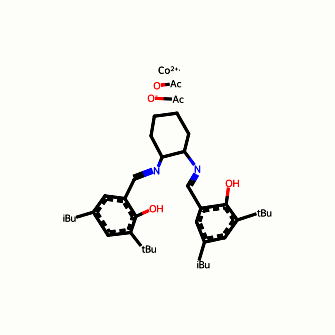 CC(=O)[O-].CC(=O)[O-].CCC(C)c1cc(C=NC2CCCCC2N=Cc2cc(C(C)CC)cc(C(C)(C)C)c2O)c(O)c(C(C)(C)C)c1.[Co+2]